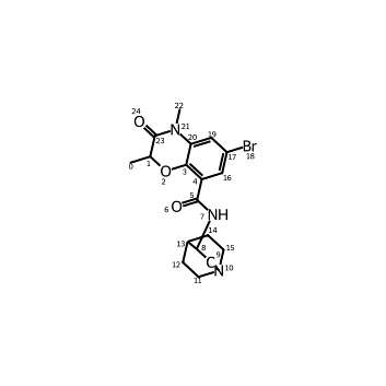 CC1Oc2c(C(=O)NC3CN4CCC3CC4)cc(Br)cc2N(C)C1=O